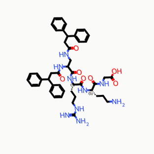 N=C(N)NCCC[C@H](NC(=O)C(CNC(=O)CC(c1ccccc1)c1ccccc1)NC(=O)CC(c1ccccc1)c1ccccc1)C(=O)N[C@@H](CCCN)C(=O)NCC(=O)O